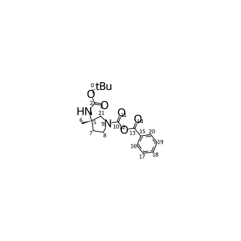 CC(C)(C)OC(=O)N[C@@]1(C)CCN(C(=O)OC(=O)c2ccccc2)C1